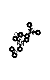 c1ccc(-c2nc(-c3ccccc3)nc(-c3cccc(-c4ccc5oc6cccc(-c7nc(-c8ccccc8)nc(-c8cccc(-n9c%10ccccc%10c%10ccccc%109)c8)n7)c6c5c4)c3)n2)cc1